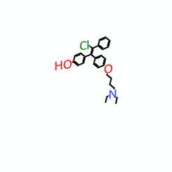 CCN(CC)CCCCOc1ccc(/C(=C(/Cl)c2ccccc2)c2ccc(O)cc2)cc1